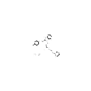 Cc1cccc2c1nc(COc1ccc(Cl)cc1)n2CCC(C)CNCCc1ccccc1.Cl.Cl